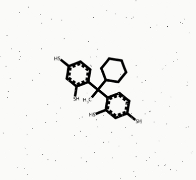 CC(c1ccc(S)cc1S)(c1ccc(S)cc1S)C1CCCCC1